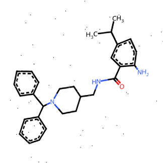 CC(C)c1ccc(N)c(C(=O)NCC2CCN(C(c3ccccc3)c3ccccc3)CC2)c1